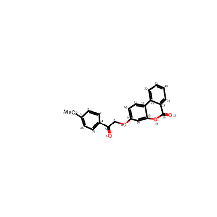 COc1ccc(C(=O)COc2ccc3c(c2)oc(=O)c2ccccc23)cc1